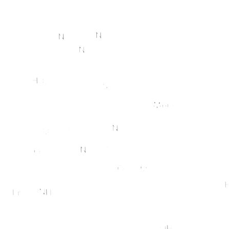 COc1ccc(F)cc1C(Cn1c(=O)n(CC(=O)NC(C)C)c(=O)c2c(C)c(-n3nccn3)sc21)OCCO